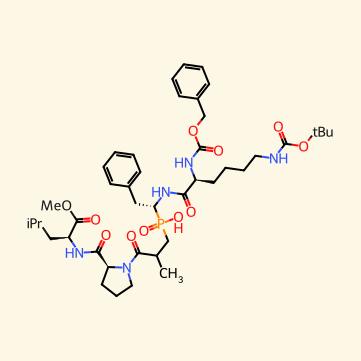 COC(=O)[C@H](CC(C)C)NC(=O)[C@@H]1CCCN1C(=O)C(C)CP(=O)(O)[C@H](Cc1ccccc1)NC(=O)[C@H](CCCCNC(=O)OC(C)(C)C)NC(=O)OCc1ccccc1